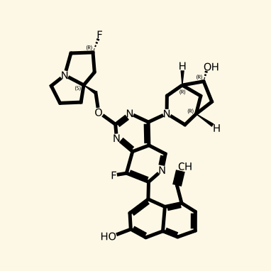 C#Cc1cccc2cc(O)cc(-c3ncc4c(N5C[C@@H]6C[C@H](C5)[C@H](O)C6)nc(OC[C@@]56CCCN5C[C@H](F)C6)nc4c3F)c12